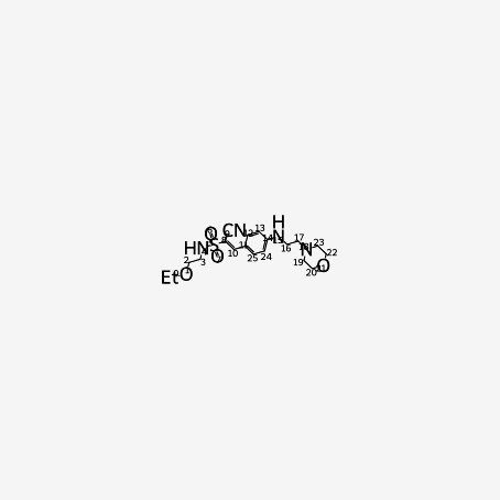 CCOCCNS(=O)(=O)/C(C#N)=C/c1ccc(NCCN2CCOCC2)cc1